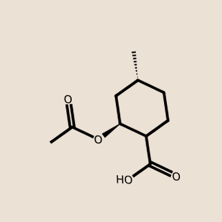 CC(=O)O[C@H]1C[C@H](C)CCC1C(=O)O